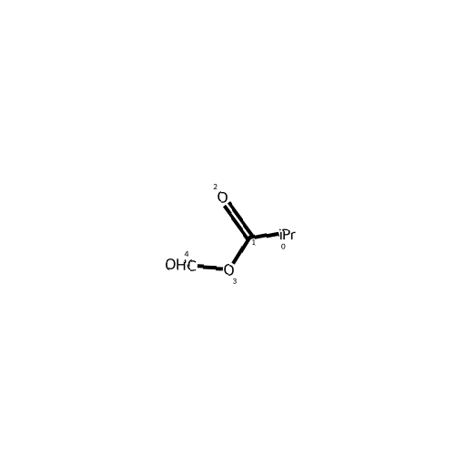 CC(C)C(=O)OC=O